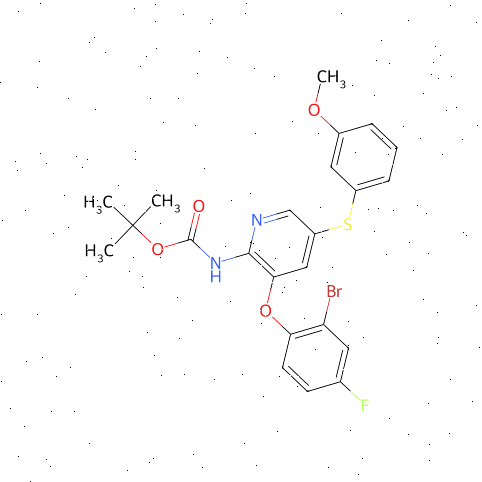 COc1cccc(Sc2cnc(NC(=O)OC(C)(C)C)c(Oc3ccc(F)cc3Br)c2)c1